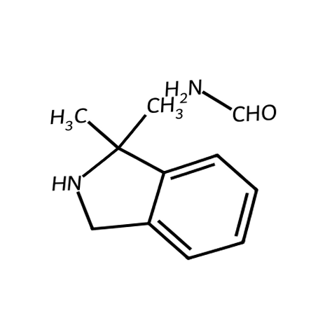 CC1(C)NCc2ccccc21.NC=O